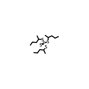 CCCC(C)SP(=S)(SC(C)CCC)SC(C)CCC